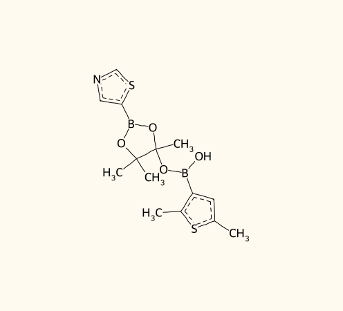 Cc1cc(B(O)OC2(C)OB(c3cncs3)OC2(C)C)c(C)s1